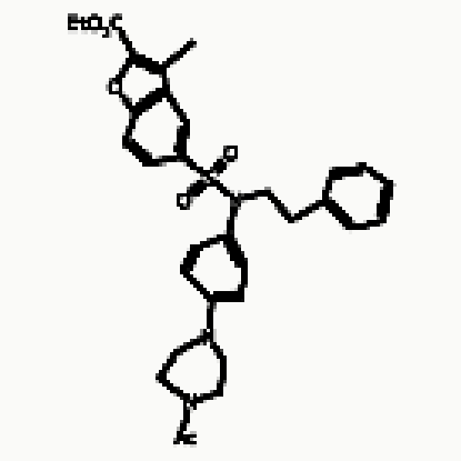 CCOC(=O)c1oc2ccc(S(=O)(=O)N(CCc3ccccc3)c3ccc(N4CCN(C(C)=O)CC4)cc3)cc2c1C